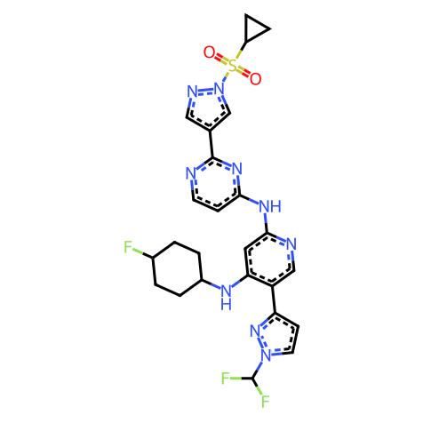 O=S(=O)(C1CC1)n1cc(-c2nccc(Nc3cc(NC4CCC(F)CC4)c(-c4ccn(C(F)F)n4)cn3)n2)cn1